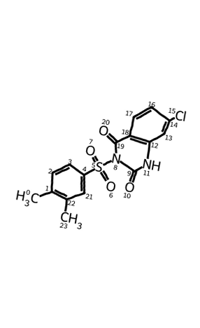 Cc1ccc(S(=O)(=O)n2c(=O)[nH]c3cc(Cl)ccc3c2=O)cc1C